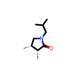 CC(C)CN1C[C@@H](C)[C@@H](C)C1=O